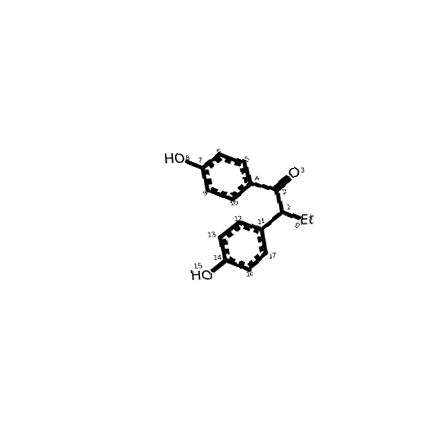 CCC(C(=O)c1ccc(O)cc1)c1ccc(O)cc1